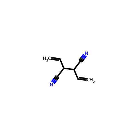 C=CC(C#N)C(C#N)C=C